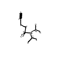 C#CCCC(=O)N(C(C)C)C(C)C